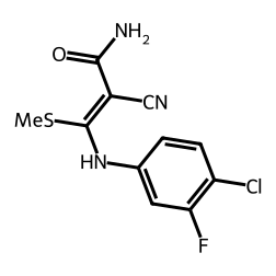 CSC(Nc1ccc(Cl)c(F)c1)=C(C#N)C(N)=O